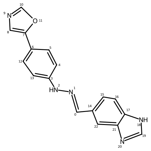 C(=NNc1ccc(-c2cnco2)cc1)c1ccc2[nH]cnc2c1